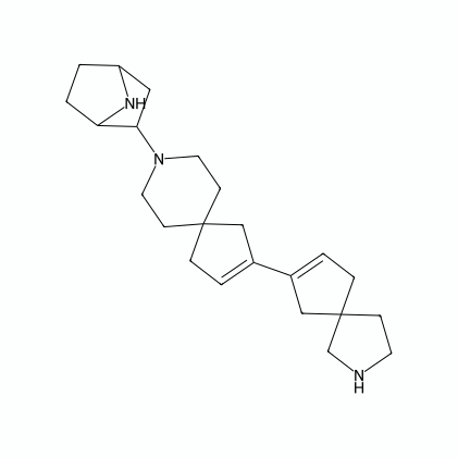 C1=C(C2=CCC3(CCNC3)C2)CC2(C1)CCN(C1CC3CCC1N3)CC2